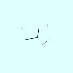 CC(C)O.CCOC(=O)CC(C)=O.Cl.O